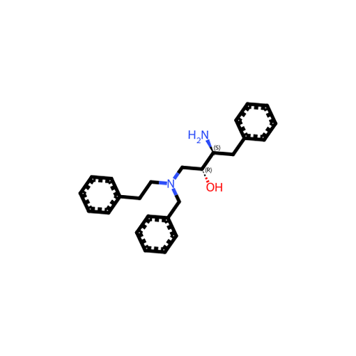 N[C@@H](Cc1ccccc1)[C@H](O)CN(CCc1ccccc1)Cc1ccccc1